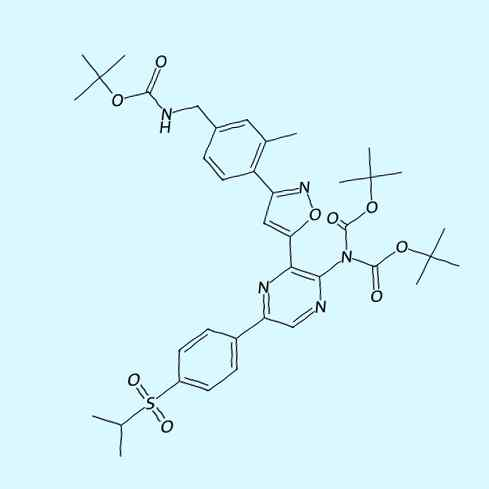 Cc1cc(CNC(=O)OC(C)(C)C)ccc1-c1cc(-c2nc(-c3ccc(S(=O)(=O)C(C)C)cc3)cnc2N(C(=O)OC(C)(C)C)C(=O)OC(C)(C)C)on1